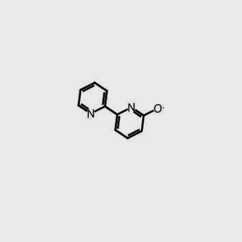 [O]c1cccc(-c2ccccn2)n1